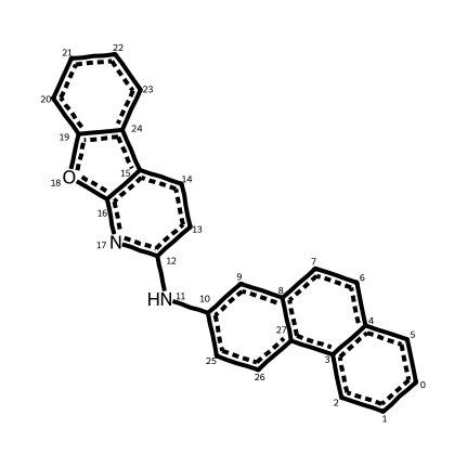 c1ccc2c(c1)ccc1cc(Nc3ccc4c(n3)oc3ccccc34)ccc12